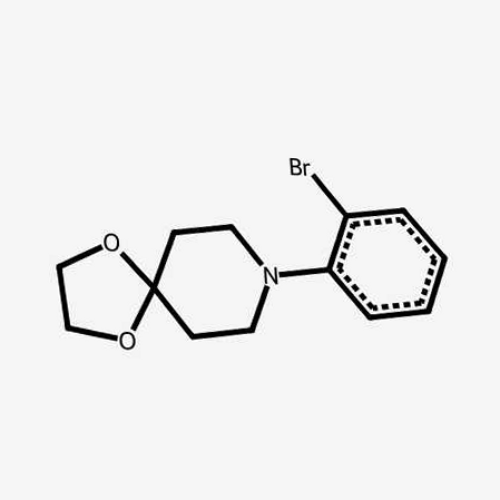 Brc1ccccc1N1CCC2(CC1)OCCO2